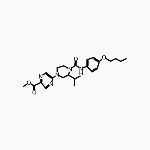 CCCCOc1ccc(NC(=O)N2CCN(c3cnc(C(=O)OC)cn3)CC2C(C)C)cc1